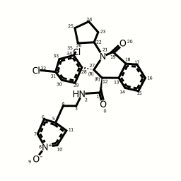 O=C(NCCc1cc[n+]([O-])cc1)[C@@H]1c2ccccc2C(=O)N(C2CCCC2)[C@H]1c1ccc(Cl)cc1Cl